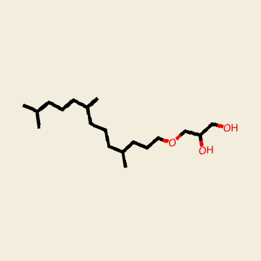 CC(C)CCCC(C)CCCC(C)CCCOCC(O)CO